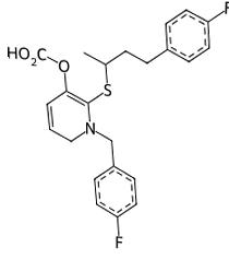 CC(CCc1ccc(F)cc1)SC1=C(OC(=O)O)C=CCN1Cc1ccc(F)cc1